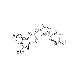 CCc1nc2ccc(Oc3ccn(-c4ccc(Cl)cc4)n3)cc2c(OC(C)=O)c1C